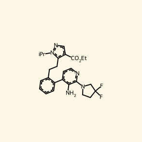 CCOC(=O)c1cnn(C(C)C)c1CCc1ccccc1-c1ccnc(N2CCC(F)(F)C2)c1N